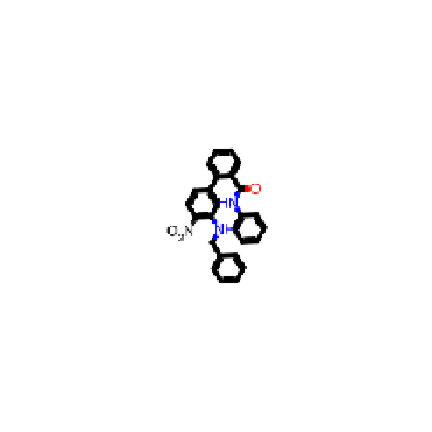 O=C(Nc1ccccc1)c1ccccc1-c1ccc([N+](=O)[O-])c(NCc2ccccc2)c1